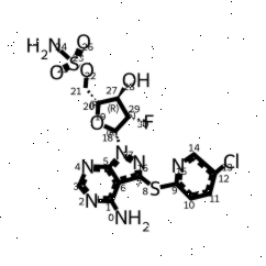 Nc1ncnc2c1c(Sc1ccc(Cl)cn1)nn2[C@@H]1O[C@H](COS(N)(=O)=O)[C@@H](O)[C@@H]1F